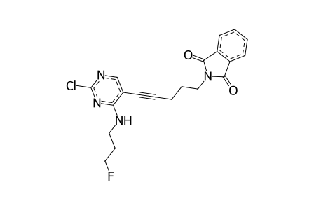 O=C1c2ccccc2C(=O)N1CCCC#Cc1cnc(Cl)nc1NCCCF